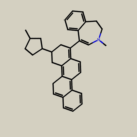 CC1CCC(C2CC(C3=CN(C)CCc4cc[c]cc43)=c3ccc4c(c3C2)CC=c2ccccc2=4)C1